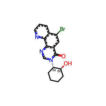 O=c1c2cc(Br)c3cccnc3c2ncn1[C@H]1CCCC[C@@H]1O